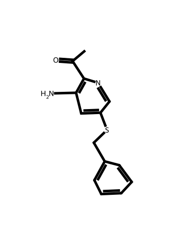 CC(=O)c1ncc(SCc2ccccc2)cc1N